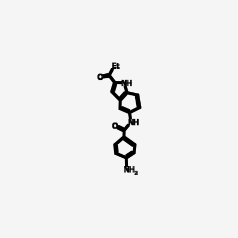 CCC(=O)c1cc2cc(NC(=O)c3ccc(N)cc3)ccc2[nH]1